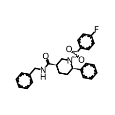 O=C(NCc1ccccc1)[C@@H]1CC[C@H](c2ccccc2)N(S(=O)(=O)c2ccc(F)cc2)C1